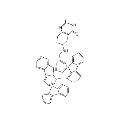 Cc1nc2c(c(=O)[nH]1)CC(NCc1ccc(C(c3cccc4c3Cc3ccccc3-4)(c3cccc4c3Cc3ccccc3-4)c3cccc4c3Cc3ccccc3-4)cc1)CC2